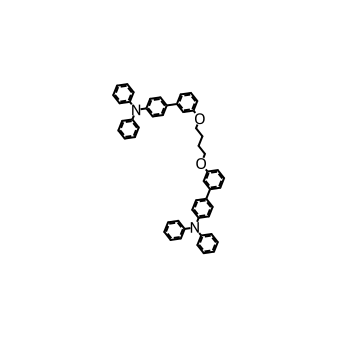 c1ccc(N(c2ccccc2)c2ccc(-c3cccc(OCCCCOc4cccc(-c5ccc(N(c6ccccc6)c6ccccc6)cc5)c4)c3)cc2)cc1